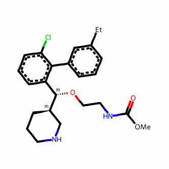 CCc1cccc(-c2c(Cl)cccc2[C@H](OCCNC(=O)OC)[C@@H]2CCCNC2)c1